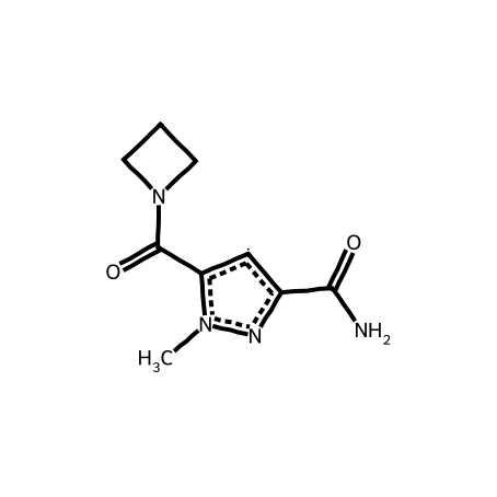 Cn1nc(C(N)=O)[c]c1C(=O)N1CCC1